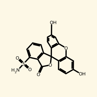 NS(=O)(=O)c1cccc2c1C(=O)OC21c2ccc(O)cc2Oc2cc(O)ccc21